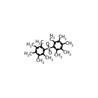 Cc1c(C)c(C)c(S(=O)(=O)c2c(C)c(C)c(C)c(C)c2C)c(C)c1C